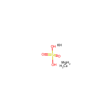 O=S(=O)(O)O.[CaH2].[KH].[MgH2]